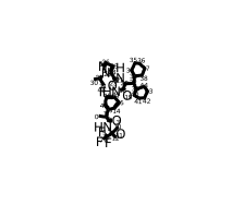 CC(C(=O)NC1(C(F)(F)F)COC1)c1ccc(NC(=O)C(NC(=O)c2ccnn2C(C)C)C(C2CCCCC2)C2CCCCC2)c(F)c1